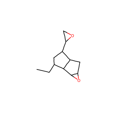 CCC1CC(C2CO2)C2CC3OC3C12